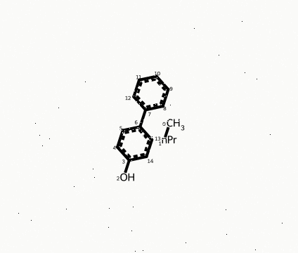 CCCC.Oc1ccc(-c2ccccc2)cc1